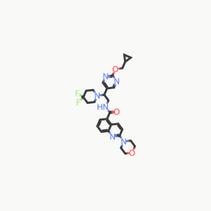 O=C(NCC(c1cnc(OCC2CC2)nc1)N1CCC(F)(F)CC1)c1cccc2nc(N3CCOCC3)ccc12